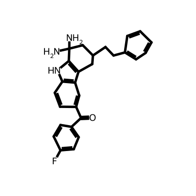 NC1(N)CC(CCc2ccccc2)Cc2c1[nH]c1ccc(C(=O)c3ccc(F)cc3)cc21